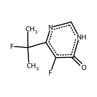 CC(C)(F)c1nc[nH]c(=O)c1F